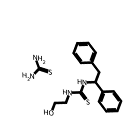 NC(N)=S.OCCNC(=S)NC(Cc1ccccc1)c1ccccc1